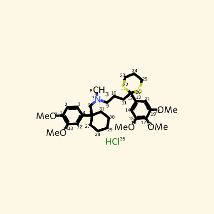 COc1ccc(C2(CN(C)CCCC3(c4cc(OC)c(OC)c(OC)c4)SCCCS3)CCCCC2)cc1OC.Cl